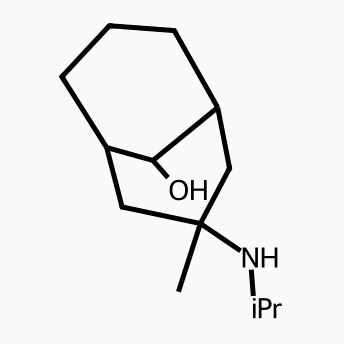 CC(C)NC1(C)CC2CCCC(C1)C2O